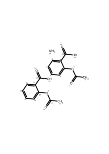 CC(=O)Oc1ccccc1C(=O)O.CC(=O)Oc1ccccc1C(=O)O.[AlH3]